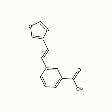 O=C(O)c1cccc(/C=C/c2cocn2)c1